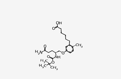 Cc1ccc(OC[C@H](CCC(N)=O)NC(=O)OC(C)(C)C)cc1CCCCCC(=O)O